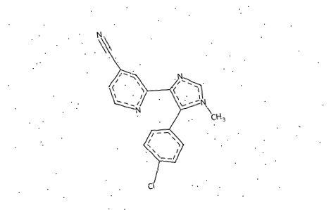 Cn1cnc(-c2cc(C#N)ccn2)c1-c1ccc(Cl)cc1